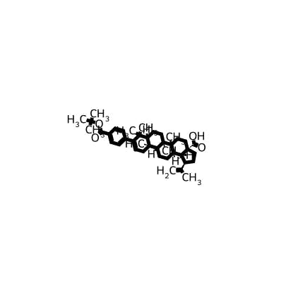 C=C(C)[C@@H]1CC[C@]2(C(=O)O)CC[C@]3(C)[C@H](CC[C@@H]4[C@@]5(C)CC=C(c6ccc(C(=O)OC(C)(C)C)cc6)C(C)(C)[C@@H]5CC[C@]43C)[C@@H]12